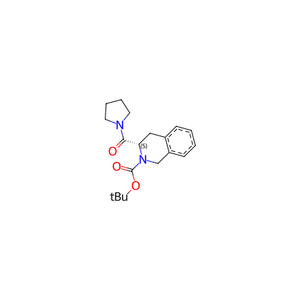 CC(C)(C)OC(=O)N1Cc2ccccc2C[C@H]1C(=O)N1CCCC1